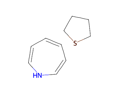 C1=CC=CNC=C1.C1CCSC1